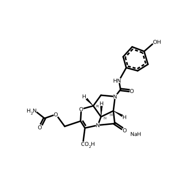 NC(=O)OCC1=C(C(=O)O)N2C(=O)[C@@H]3[C@H]2[C@@H](CN3C(=O)Nc2ccc(O)cc2)O1.[NaH]